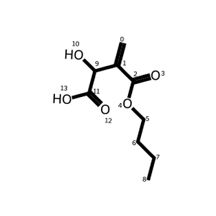 C=C(C(=O)OCCCC)C(O)C(=O)O